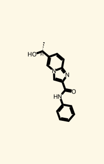 C[C@@H](O)c1ccc2nc(C(=O)Nc3ccccc3)cn2c1